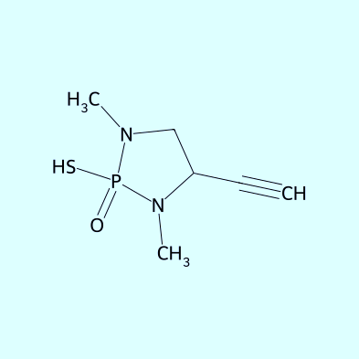 C#CC1CN(C)P(=O)(S)N1C